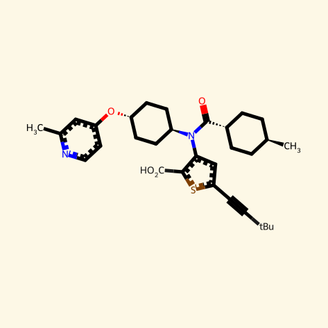 Cc1cc(O[C@H]2CC[C@H](N(c3cc(C#CC(C)(C)C)sc3C(=O)O)C(=O)[C@H]3CC[C@H](C)CC3)CC2)ccn1